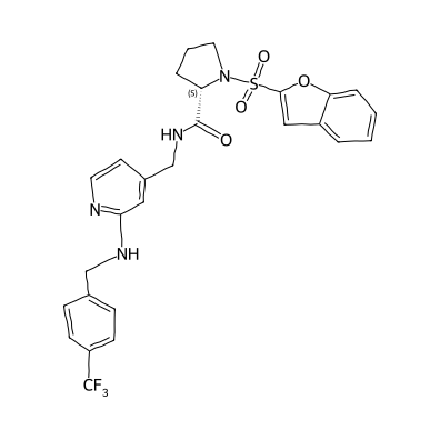 O=C(NCc1ccnc(NCc2ccc(C(F)(F)F)cc2)c1)[C@@H]1CCCN1S(=O)(=O)c1cc2ccccc2o1